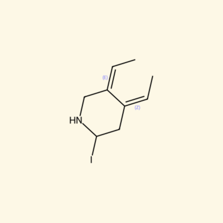 C/C=C1/CC(I)NC/C1=C/C